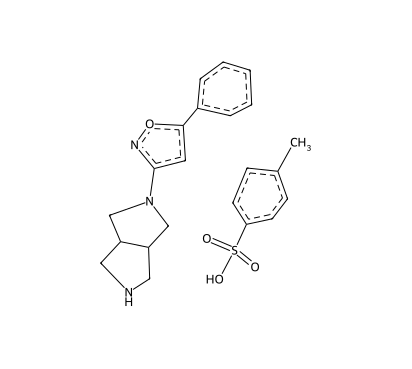 Cc1ccc(S(=O)(=O)O)cc1.c1ccc(-c2cc(N3CC4CNCC4C3)no2)cc1